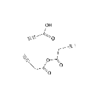 C#CC(=O)O.C#CCC(=O)OC(=O)CC#C